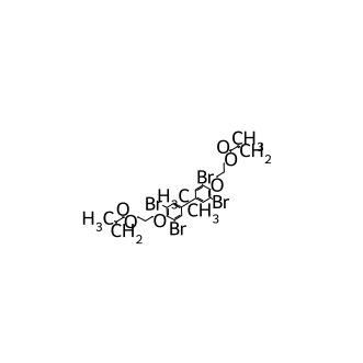 C=C(C)C(=O)OCCCOc1c(Br)cc(C(C)(C)c2cc(Br)c(OCCCOC(=O)C(=C)C)c(Br)c2)cc1Br